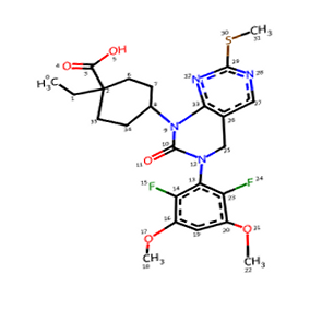 CCC1(C(=O)O)CCC(N2C(=O)N(c3c(F)c(OC)cc(OC)c3F)Cc3cnc(SC)nc32)CC1